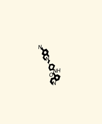 N#Cc1ccc2c(c1)CCN(CC[C@H]1CC[C@H](NC(=O)c3cccc4ncccc34)CC1)C2